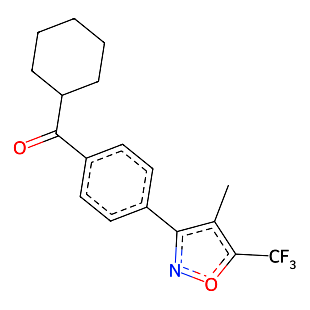 Cc1c(-c2ccc(C(=O)C3CCCCC3)cc2)noc1C(F)(F)F